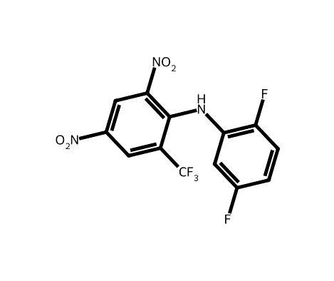 O=[N+]([O-])c1cc([N+](=O)[O-])c(Nc2cc(F)ccc2F)c(C(F)(F)F)c1